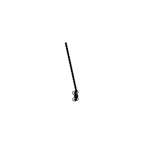 C#CC#CC#CC#CC#CC#CC#CC#CC#CC#CC#CC#CC#CC#CC#CC#CC#CC#COC(=O)c1ccc(OC(C)=O)cc1